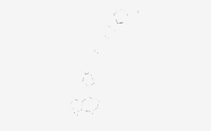 CCC(CN1CCN(S(=O)(=O)c2ccc(Br)s2)CC1)n1cc(-c2ncnc3[nH]ccc23)cn1